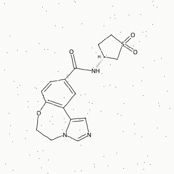 O=C(N[C@@H]1CCS(=O)(=O)C1)c1ccc2c(c1)-c1cncn1CCO2